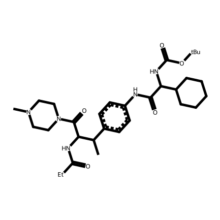 CCC(=O)NC(C(=O)N1CCN(C)CC1)C(C)c1ccc(NC(=O)C(NC(=O)OC(C)(C)C)C2CCCCC2)cc1